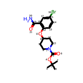 CC(C)(C)OC(=O)N1CCC(Oc2ccc(Br)cc2C(N)=O)CC1